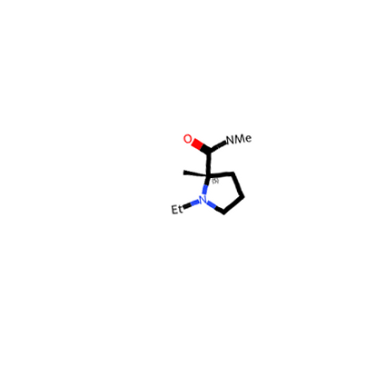 CCN1CCC[C@@]1(C)C(=O)NC